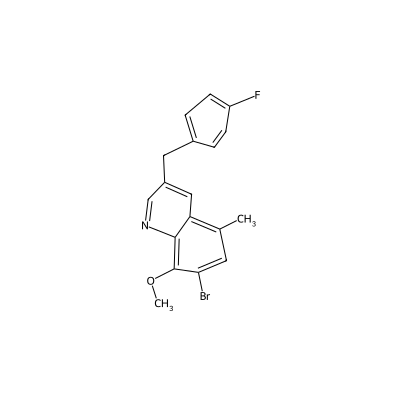 COc1c(Br)cc(C)c2cc(Cc3ccc(F)cc3)cnc12